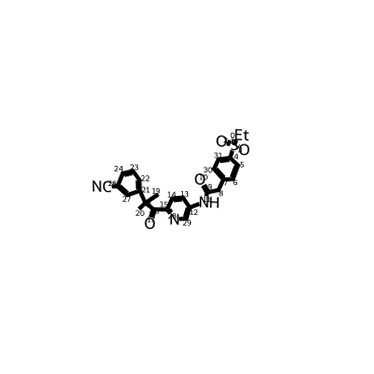 CCS(=O)(=O)c1ccc(CC(=O)Nc2ccc(C(=O)C(C)(C)c3cccc(C#N)c3)nc2)cc1